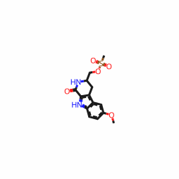 COc1ccc2[nH]c3c(c2c1)CC(COS(C)(=O)=O)NC3=O